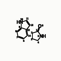 O=C1CCCN1.c1ccc2[nH]ccc2c1